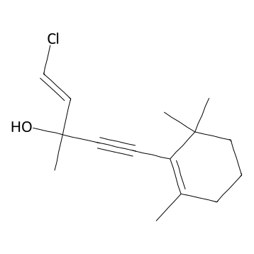 CC1=C(C#CC(C)(O)C=CCl)C(C)(C)CCC1